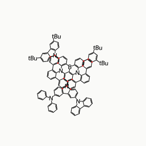 CC(C)(C)c1cc(-c2ccc3c(c2)N(c2c(-c4ccccc4)cccc2-c2ccccc2)c2cc(-n4c5ccc(N(c6ccccc6)c6ccccc6)cc5c5cc(-n6c7ccccc7c7ccccc76)ccc54)cc4c2B3c2ccc(-n3c5ccc(C(C)(C)C)cc5c5cc(C(C)(C)C)ccc53)cc2N4c2c(-c3ccccc3)cccc2-c2ccccc2)cc(C(C)(C)C)c1